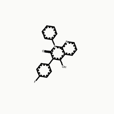 O=c1c(-c2ccc(F)cc2)c(O)c2cccnc2n1-c1ccccc1